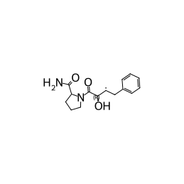 NC(=O)C1CCCN1C(=O)[C@H](O)[CH]Cc1ccccc1